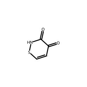 O=c1[c]cs[nH]c1=O